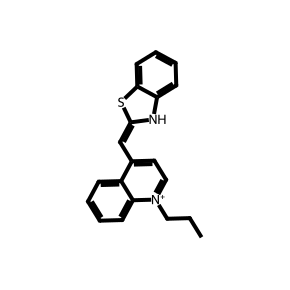 CCC[n+]1ccc(/C=C2\Nc3ccccc3S2)c2ccccc21